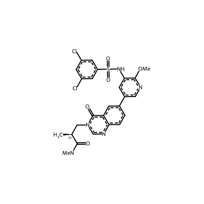 CNC(=O)[C@@H](C)Cn1cnc2ccc(-c3cnc(OC)c(NS(=O)(=O)c4cc(Cl)cc(Cl)c4)c3)cc2c1=O